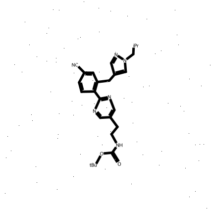 CC(C)Cn1cc(Cc2cc(C#N)ccc2-c2ncc(CCNC(=O)OC(C)(C)C)cn2)cn1